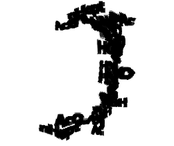 CCCCCCC[C@H](CCCC[C@H](COP(=O)(O)OCCNC(=O)NCCOP(=O)(O)OC[C@@H](COCC[C@@H](CCCCCCC)OC(C)=O)NC(=O)CC(C)=O)NC(=O)CC(C)=O)OC(C)=O